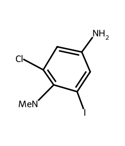 CNc1c(Cl)cc(N)cc1I